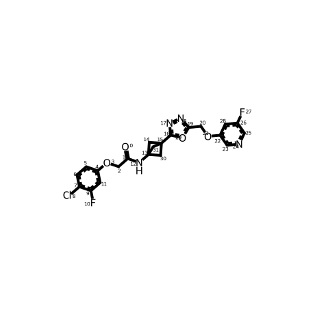 O=C(COc1ccc(Cl)c(F)c1)NC12CC(c3nnc(COc4cncc(F)c4)o3)(C1)C2